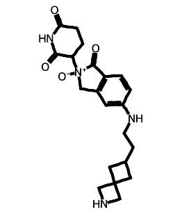 O=C1CCC([N+]2([O-])Cc3cc(NCCC4CC5(CNC5)C4)ccc3C2=O)C(=O)N1